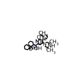 C[C@H](Oc1nc(/C(O)=C2\CCC[C@@]3(CCCCC3=O)C2=N)cc(N2C[C@H](C)N[C@@H](C)C2)n1)[C@@H]1CCCN1C